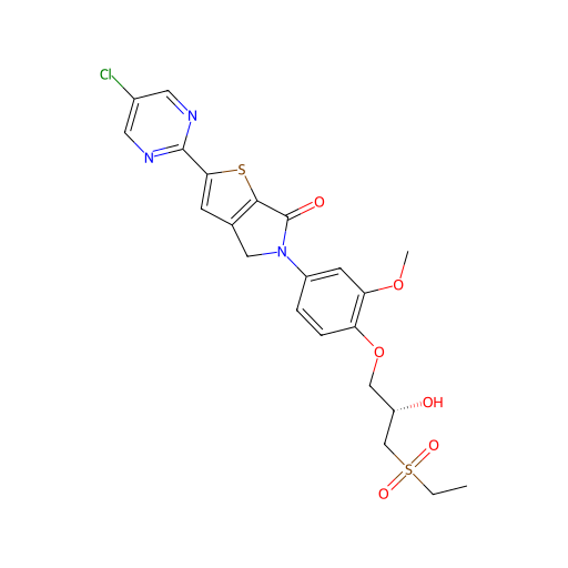 CCS(=O)(=O)C[C@@H](O)COc1ccc(N2Cc3cc(-c4ncc(Cl)cn4)sc3C2=O)cc1OC